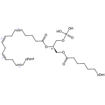 CCCCC/C=C\C/C=C\C/C=C\C/C=C\CCCC(=O)O[C@H](COC(=O)CCCCCCCCCCCCCCC)COP(=O)(O)O